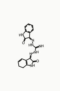 N=C(N/N=C1\C(=O)NC2=C1C=CCC2)N/N=C1\C(=O)Nc2ccccc21